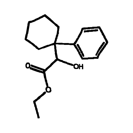 CCOC(=O)C(O)C1(c2ccccc2)CCCCC1